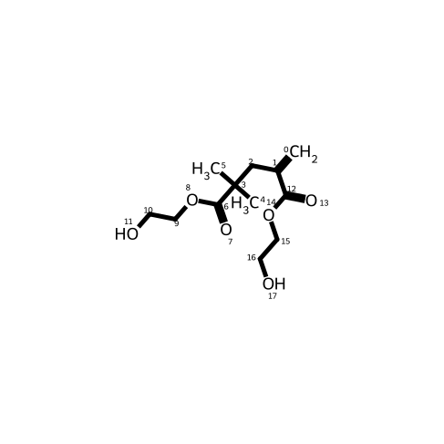 C=C(CC(C)(C)C(=O)OCCO)C(=O)OCCO